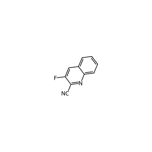 N#Cc1nc2ccccc2cc1F